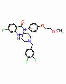 COCCOc1ccc(N2C(=O)c3ccc(F)cc3NC23CCN(Cc2ccc(F)c(F)c2)CC3)cc1